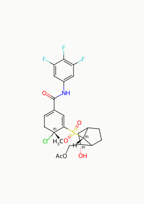 CC(=O)OC[C@@]1(O)CC2CCC1[C@@H]2S(=O)(=O)C1=CC(C(=O)Nc2cc(F)c(F)c(F)c2)=CC[C@@]1(C)Cl